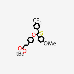 COc1ccc2c(Oc3ccc(C=CC(=O)OC(C)(C)C)cc3)c(-c3ccc(C(F)(F)F)cc3)sc2c1